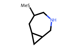 CSC1CNCC2CC2C1